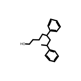 CC(CC(CCCCO)c1ccccc1)c1ccccc1